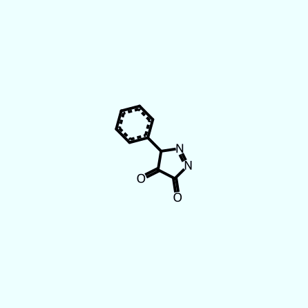 O=C1N=NC(c2ccccc2)C1=O